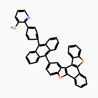 Cc1cccnc1-c1ccc(-c2c3ccccc3c(-c3ccc4oc5c6ccccc6c6sc7ccccc7c6c5c4c3)c3ccccc23)cc1